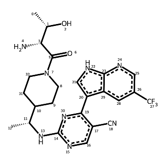 C[C@H](O)[C@@H](N)C(=O)N1CCC([C@@H](C)Nc2ncc(C#N)c(-c3c[nH]c4ncc(C(F)(F)F)cc34)n2)CC1